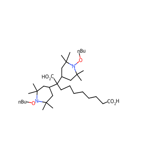 CCCCON1C(C)(C)CC(C(CCCCCCCC(=O)O)(C(=O)O)C2CC(C)(C)N(OCCCC)C(C)(C)C2)CC1(C)C